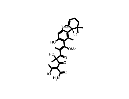 CC[C@@]1(c2c(OC)cc(O)c(/C(OC)=C(\C)C(=O)C(C)(O)C(=O)/C(C(N)=O)=C(\C)O)c2C)C(C)=CCCC1(C)C